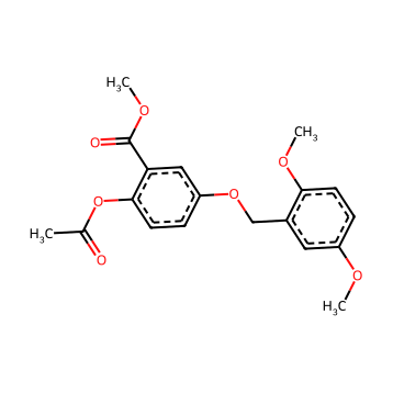 COC(=O)c1cc(OCc2cc(OC)ccc2OC)ccc1OC(C)=O